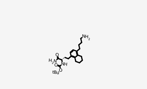 CC(C)(C)OC(=O)N[C@@H](CCc1ccc(CCCCN)c2c1CCCC2)C(N)=O